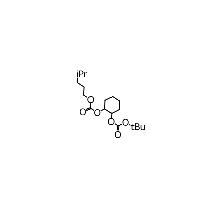 CC(C)CCCOC(=O)OC1CCCCC1OC(=O)OC(C)(C)C